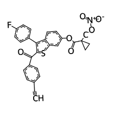 C#Cc1ccc(C(=O)c2sc3cc(OC(=O)C4(CO[N+](=O)[O-])CC4)ccc3c2-c2ccc(F)cc2)cc1